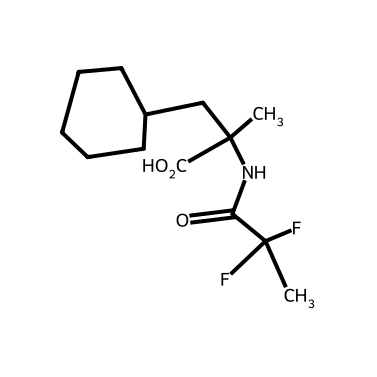 CC(F)(F)C(=O)NC(C)(CC1CCCCC1)C(=O)O